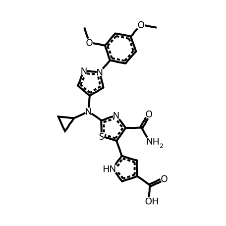 COc1ccc(-n2cc(N(c3nc(C(N)=O)c(-c4cc(C(=O)O)c[nH]4)s3)C3CC3)cn2)c(OC)c1